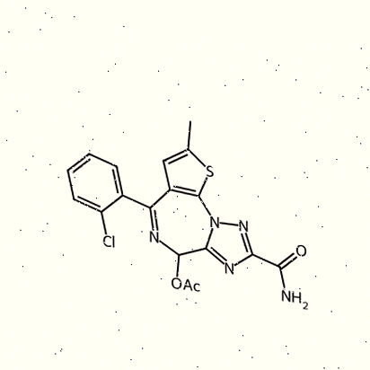 CC(=O)OC1N=C(c2ccccc2Cl)c2cc(C)sc2-n2nc(C(N)=O)nc21